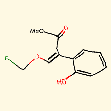 COC(=O)/C(=C\OCF)c1ccccc1O